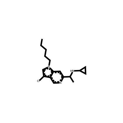 CCCCCn1cc(Cl)c2cnc(C(C)NC3CC3)cc21